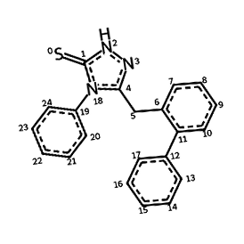 S=c1[nH]nc(Cc2ccccc2-c2ccccc2)n1-c1ccccc1